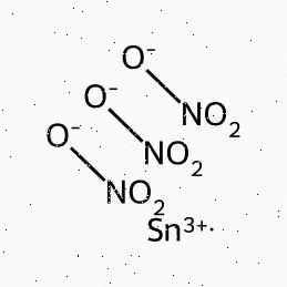 O=[N+]([O-])[O-].O=[N+]([O-])[O-].O=[N+]([O-])[O-].[Sn+3]